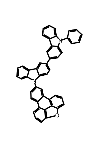 c1ccc(-n2c3ccccc3c3cc(-c4ccc5c(c4)c4ccccc4n5-c4ccc5c(c4)c4cccc6oc7cccc5c7c64)ccc32)cc1